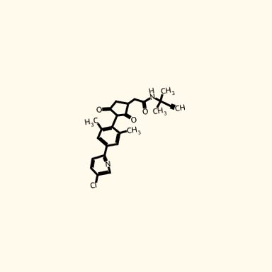 C#CC(C)(C)NC(=O)CC1CC(=O)C(c2c(C)cc(-c3ccc(Cl)cn3)cc2C)C1=O